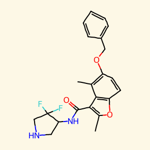 Cc1oc2ccc(OCc3ccccc3)c(C)c2c1C(=O)NC1CNCC1(F)F